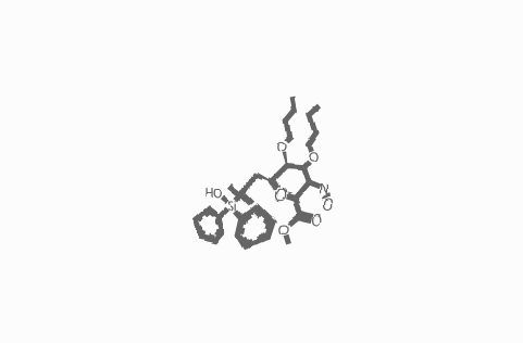 CCCCOC1C(N=O)C(C(=O)OC)O[C@@H](CC(C)(C)[Si](O)(c2ccccc2)c2ccccc2)[C@H]1OCCCC